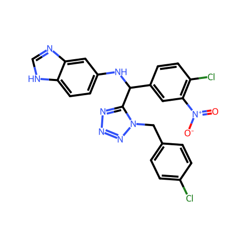 O=[N+]([O-])c1cc(C(Nc2ccc3[nH]cnc3c2)c2nnnn2Cc2ccc(Cl)cc2)ccc1Cl